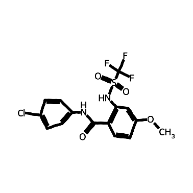 COc1ccc(C(=O)Nc2ccc(Cl)cc2)c(NS(=O)(=O)C(F)(F)F)c1